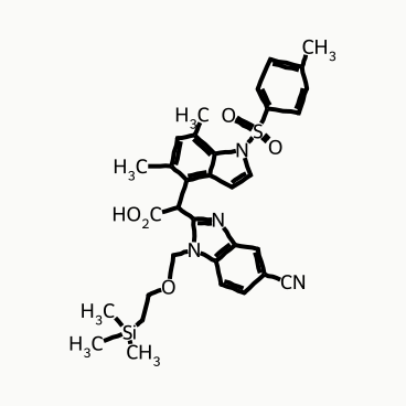 Cc1ccc(S(=O)(=O)n2ccc3c(C(C(=O)O)c4nc5cc(C#N)ccc5n4COCC[Si](C)(C)C)c(C)cc(C)c32)cc1